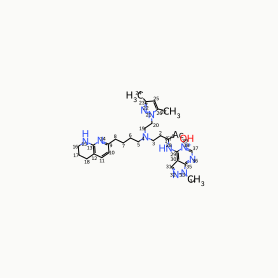 CC(=O)[C@H](CCN(CCCCc1ccc2c(n1)NCCC2)CCn1nc(C)cc1C)Nc1c2cnn(C)c2nc[n+]1O